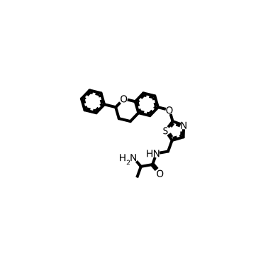 CC(N)C(=O)NCc1cnc(Oc2ccc3c(c2)CCC(c2ccccc2)O3)s1